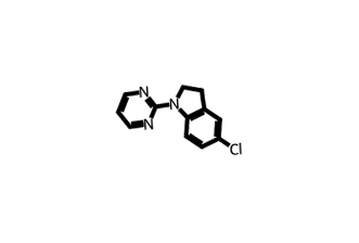 Clc1ccc2c(c1)CCN2c1ncccn1